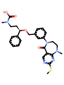 CSc1ncc2c(n1)N(C)CCN(c1cccc(CO[C@H](CCN(C)C(=O)O)c3ccccc3)c1)C2=O